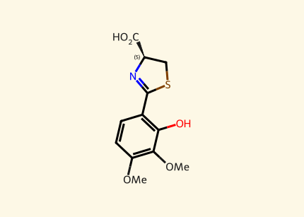 COc1ccc(C2=N[C@@H](C(=O)O)CS2)c(O)c1OC